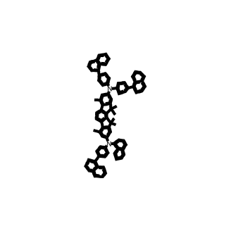 Cc1cc(N(c2ccc(-c3cccc4ccccc34)cc2)c2ccc(-c3cccc4ccccc34)cc2)cc2c1-c1ccc3c(c1C2(C)C)C(C)(C)c1cc(N(c2ccc(-c4cccc5ccccc45)cc2)c2cccc4ccccc24)cc(C)c1-3